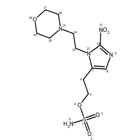 NS(=O)(=O)OCCc1cnc([N+](=O)[O-])n1CCN1CCOCC1